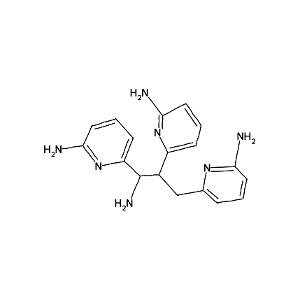 Nc1cccc(CC(c2cccc(N)n2)C(N)c2cccc(N)n2)n1